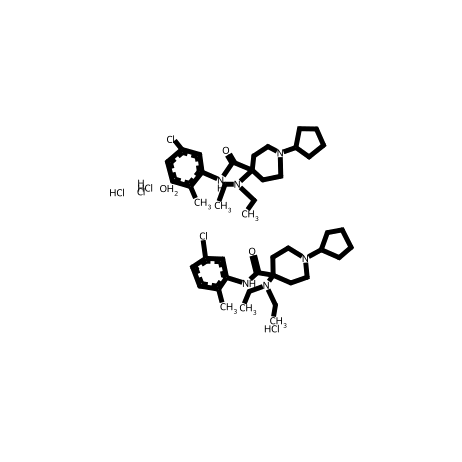 CCN(CC)C1(C(=O)Nc2cc(Cl)ccc2C)CCN(C2CCCC2)CC1.CCN(CC)C1(C(=O)Nc2cc(Cl)ccc2C)CCN(C2CCCC2)CC1.Cl.Cl.Cl.Cl.O